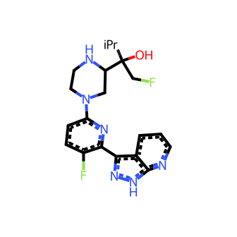 CC(C)C(O)(CF)C1CN(c2ccc(F)c(-c3n[nH]c4ncccc34)n2)CCN1